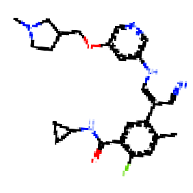 Cc1cc(F)c(C(=O)NC2CC2)cc1/C(C=N)=C/Nc1cncc(OCC2CCN(C)C2)c1